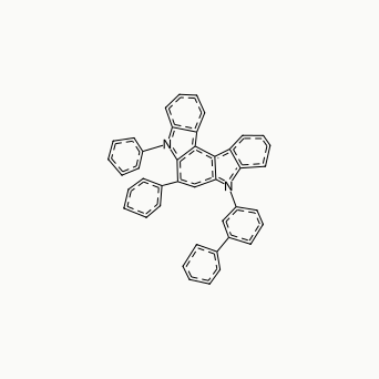 c1ccc(-c2cccc(-n3c4ccccc4c4c5c6ccccc6n(-c6ccccc6)c5c(-c5ccccc5)cc43)c2)cc1